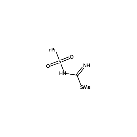 CCCS(=O)(=O)NC(=N)SC